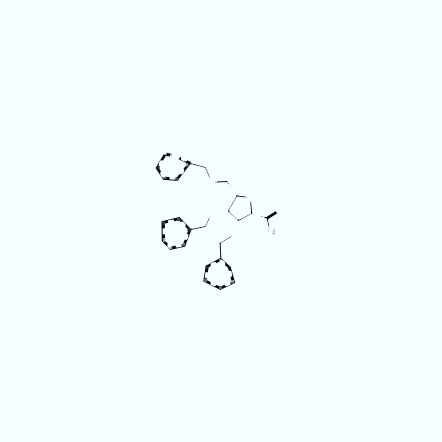 NC(=S)[C@@H]1O[C@H](COCc2ccccc2)[C@@H](OCc2ccccc2)[C@H]1OCc1ccccc1